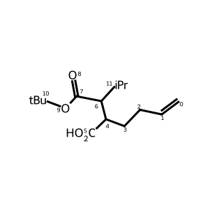 C=CCCC(C(=O)O)C(C(=O)OC(C)(C)C)C(C)C